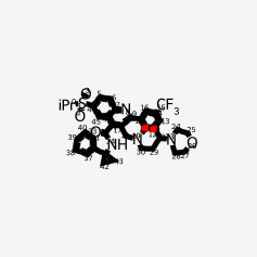 CC(C)S(=O)(=O)c1ccc2nc(-c3cccc(C(F)(F)F)c3)c(CN3CCC(N4CCOCC4)CC3)c(C(=O)NC3(c4ccccc4)CC3)c2c1